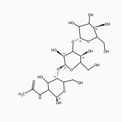 CC(=O)NC1C(O)[C@H](O[C@@H]2OC(CO)[C@H](O)C(O[C@H]3OC(CO)[C@H](O)C(O)C3O)[C@@H]2O)C(CO)O[C@H]1O